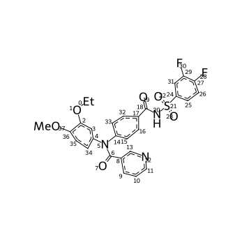 CCOc1cc(N(C(=O)c2cccnc2)c2ccc(C(=O)NS(=O)(=O)c3ccc(F)c(F)c3)cc2)ccc1OC